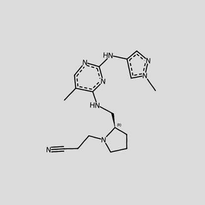 Cc1cnc(Nc2cnn(C)c2)nc1NC[C@H]1CCCN1CCC#N